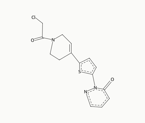 O=C(CCl)N1CC=C(c2ccc(-n3ncccc3=O)s2)CC1